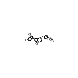 COc1ncc(CN2CCOc3c(Cl)cc(-n4cc(Cl)c5cc(F)ccc54)cc3C2)cn1